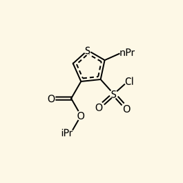 CCCc1scc(C(=O)OC(C)C)c1S(=O)(=O)Cl